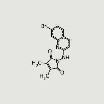 CC1=C(C)C(=O)N(Nc2c[c]c3ccc(Br)cc3n2)C1=O